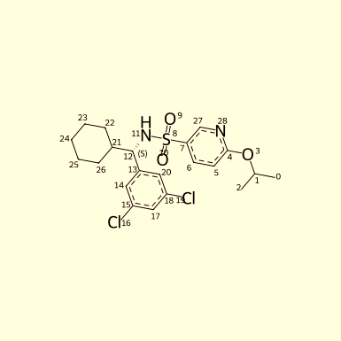 CC(C)Oc1ccc(S(=O)(=O)N[C@H](c2cc(Cl)cc(Cl)c2)C2CCCCC2)cn1